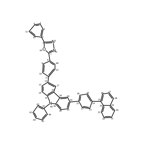 c1ccc(-c2nnc(-c3ccc(-c4ccc5c(c4)c4cc(-c6ccc(-c7cccc8ccccc78)cc6)ccc4n5-c4ccccc4)cc3)o2)cc1